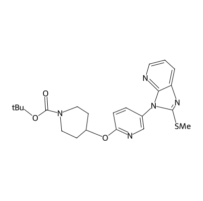 CSc1nc2cccnc2n1-c1ccc(OC2CCN(C(=O)OC(C)(C)C)CC2)nc1